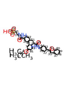 CC(C)(C)COc1ccc(C(Cc2ccc(C(=O)NCCS(=O)(=O)O)cc2)C(=O)Nc2ccc(-c3cc4ccccc4o3)cc2)cc1